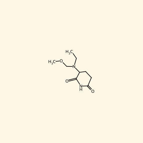 CCN(COC)C1CCC(=O)NC1=O